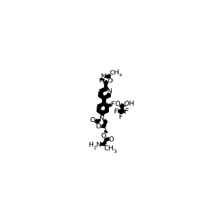 Cc1nnc(-c2ccc(-c3ccc(N4C[C@H](COC(=O)[C@H](C)N)OC4=O)cc3F)cn2)o1.O=C(O)C(F)(F)F